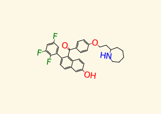 O=C(c1ccc(OCCC2CCCCCN2)cc1)c1c(-c2cc(F)cc(F)c2F)ccc2cc(O)ccc12